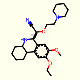 CCOc1cc2c(cc1OC)/C(=C(/C#N)OCCN1CCCCC1)NC1CCCCC21